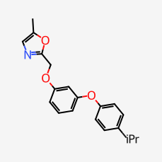 Cc1cnc(COc2cccc(Oc3ccc(C(C)C)cc3)c2)o1